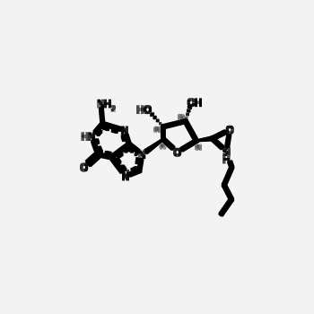 CCCC[SiH]1OC1[C@H]1O[C@@H](n2cnc3c(=O)[nH]c(N)nc32)[C@H](O)[C@@H]1O